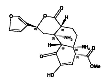 COC(=O)[C@@H]1C=C(O)C(=O)[C@H]2[C@@]1(N)CC[C@H]1C(=O)O[C@H](c3ccoc3)C[C@]21N